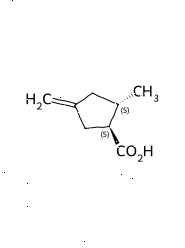 C=C1C[C@H](C(=O)O)[C@@H](C)C1